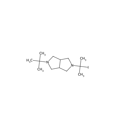 CC(C)(C)N1CC2CN(C(C)(C)I)CC2C1